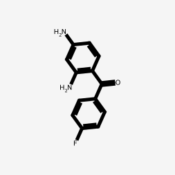 Nc1ccc(C(=O)c2ccc(F)cc2)c(N)c1